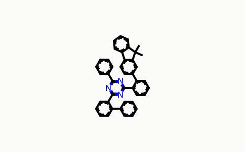 CC1(C)c2ccccc2-c2ccc(-c3ccccc3-c3nc(-c4ccccc4)nc(-c4ccccc4-c4ccccc4)n3)cc21